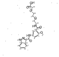 COc1ccc(NC(=O)c2nn(C)c3ccccc23)cc1C(=O)NCCOCCOCC(=O)O